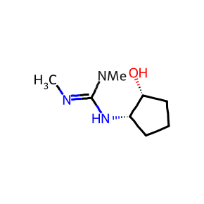 C/N=C(\NC)N[C@H]1CCC[C@H]1O